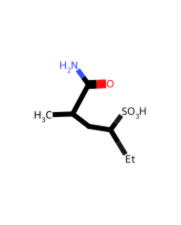 CCC(CC(C)C(N)=O)S(=O)(=O)O